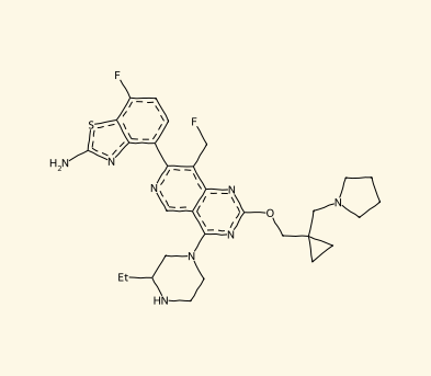 CCC1CN(c2nc(OCC3(CN4CCCC4)CC3)nc3c(CF)c(-c4ccc(F)c5sc(N)nc45)ncc23)CCN1